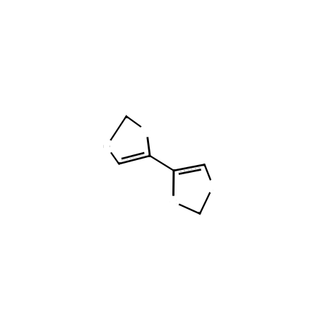 C1=C(C2=COCO2)OCO1